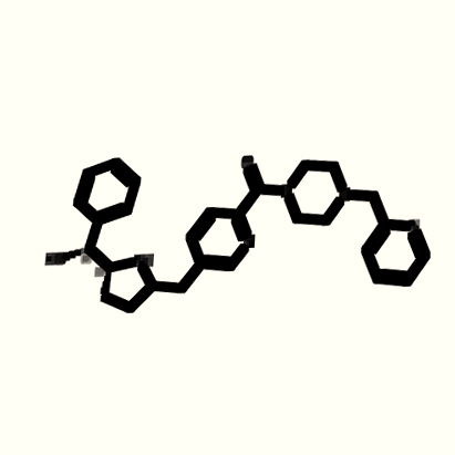 O=C(c1ccc(CC2CC[C@H]([C@H](O)c3ccccc3)N2)cn1)N1CCN(Cc2ccccn2)CC1